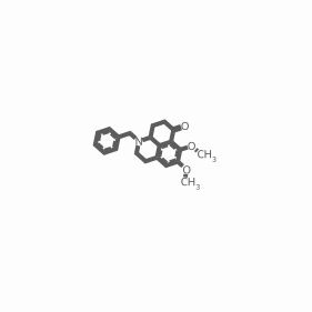 COc1cc2c3c(c1OC)C(=O)CCC3N(Cc1ccccc1)CC2